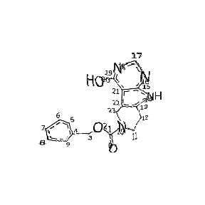 O=C(OCc1ccccc1)N1CCc2[nH]c3ncnc(O)c3c2C1